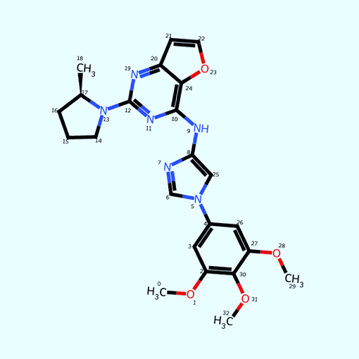 COc1cc(-n2cnc(Nc3nc(N4CCC[C@H]4C)nc4ccoc34)c2)cc(OC)c1OC